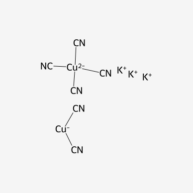 N#[C][Cu-2]([C]#N)([C]#N)[C]#N.N#[C][Cu-][C]#N.[K+].[K+].[K+]